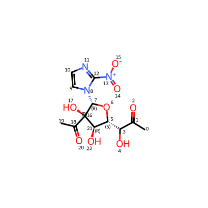 CC(=O)C(O)[C@H]1O[C@@H](n2ccnc2[N+](=O)[O-])[C@@](O)(C(C)=O)[C@@H]1O